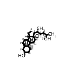 CC(O)CC[C@@H](C)[C@H]1CC[C@H]2[C@@H]3CC=C4C[C@@H](O)CC[C@@H]4[C@H]3CC[C@]12C